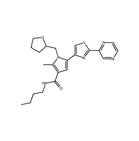 CCCCNC(=O)c1cc(-c2csc(-c3cnccn3)n2)n(CC2CCCO2)c1C